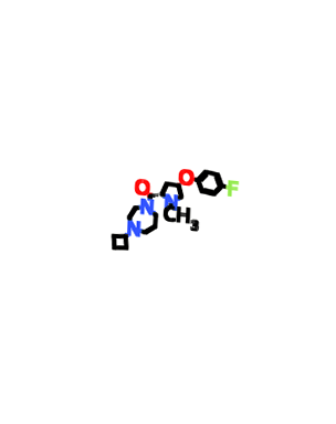 CN1C[C@@H](Oc2ccc(F)cc2)C[C@H]1C(=O)N1CCCN(C2CCC2)CC1